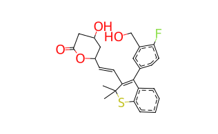 CC1(C)Sc2ccccc2C(c2ccc(F)c(CO)c2)=C1C=CC1CC(O)CC(=O)O1